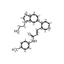 Cc1ccc(NC(=O)/C=C/c2cnccc2-c2ccc3ncn(CCO)c3c2)cc1